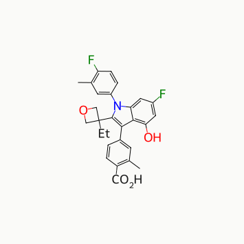 CCC1(c2c(-c3ccc(C(=O)O)c(C)c3)c3c(O)cc(F)cc3n2-c2ccc(F)c(C)c2)COC1